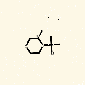 CCC(C)(C)N1CCOC[C@H]1C